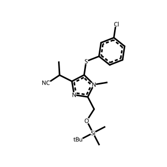 CC(C#N)c1nc(CO[Si](C)(C)C(C)(C)C)n(C)c1Sc1cccc(Cl)c1